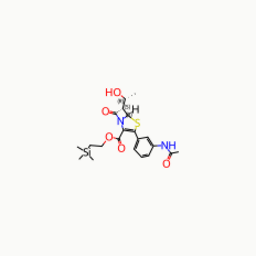 CC(=O)Nc1cccc(C2=C(C(=O)OCC[Si](C)(C)C)N3C(=O)[C@H]([C@@H](C)O)[C@H]3S2)c1